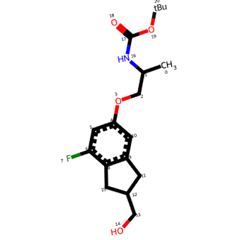 CC(COc1cc(F)c2c(c1)CC(CO)C2)NC(=O)OC(C)(C)C